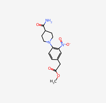 COC(=O)Cc1ccc(N2CCC(C(N)=O)CC2)c([N+](=O)[O-])c1